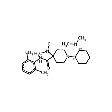 Cc1cccc(C)c1NC(=O)C1(N(C)C)CCN([C@@H]2CCCC[C@H]2N(C)C)CC1